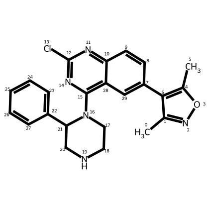 Cc1noc(C)c1-c1ccc2nc(Cl)nc(N3CCNCC3c3ccccc3)c2c1